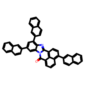 O=c1c2cccc3c(-c4ccc5ccccc5c4)ccc(c32)c2nc3c(-c4ccc5ccccc5c4)cc(-c4ccc5ccccc5c4)cc3n12